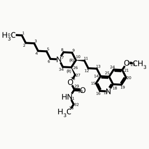 CCCCCCCN1CC[C@@H](CCCc2ccnc3ccc(OC)cc23)[C@@H](COC(=O)NCC)C1